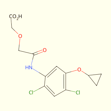 O=C(O)COCC(=O)Nc1cc(OC2CC2)c(Cl)cc1Cl